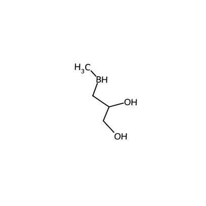 CBCC(O)CO